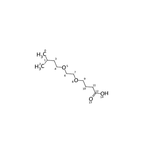 CC(C)CCOCCOCCCC(=O)O